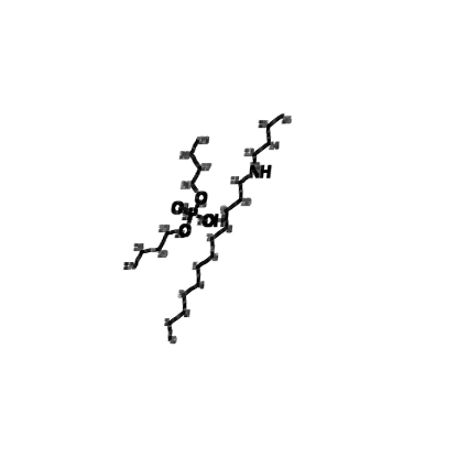 CCCCCCCCCCCCNCCCC.CCCCOP(=O)(O)OCCCC